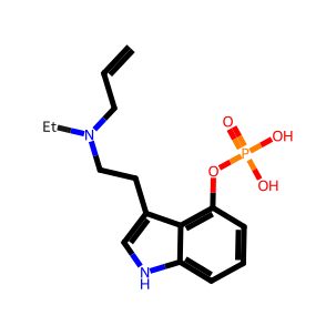 C=CCN(CC)CCc1c[nH]c2cccc(OP(=O)(O)O)c12